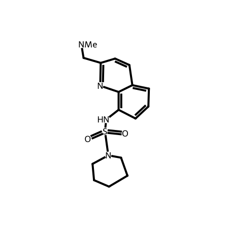 CNCc1ccc2cccc(NS(=O)(=O)N3CCCCC3)c2n1